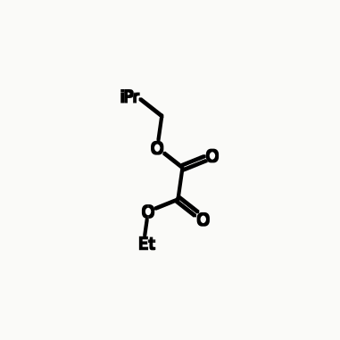 CCOC(=O)C(=O)OCC(C)C